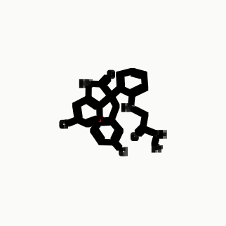 CC(C)NC(=O)CNc1ccccc1C1(Cc2cccc(Cl)c2)C(=O)Nc2cc(Cl)ccc21